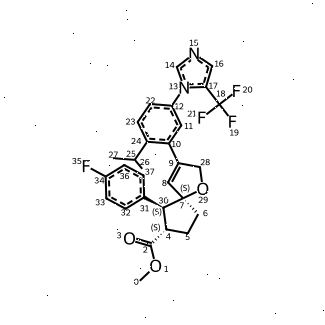 COC(=O)[C@H]1CC[C@@]2(C=C(c3cc(-n4cncc4C(F)(F)F)ccc3C(C)C)CO2)[C@@H]1c1ccc(F)cc1